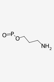 NCCCOP=O